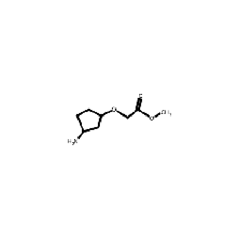 COC(=O)COC1CCC(N)C1